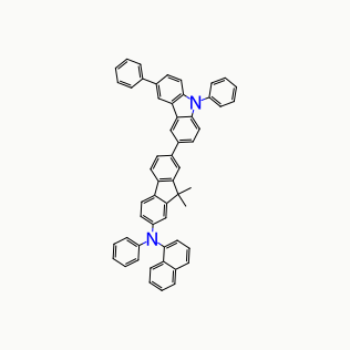 CC1(C)c2cc(-c3ccc4c(c3)c3cc(-c5ccccc5)ccc3n4-c3ccccc3)ccc2-c2ccc(N(c3ccccc3)c3cccc4ccccc34)cc21